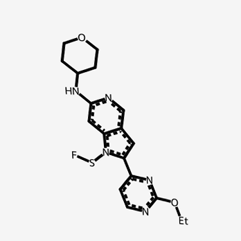 CCOc1nccc(-c2cc3cnc(NC4CCOCC4)cc3n2SF)n1